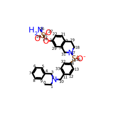 CCN(Cc1ccccc1)Cc1ccc([S+]([O-])N2CCc3ccc(OS(N)(=O)=O)cc3C2)cc1